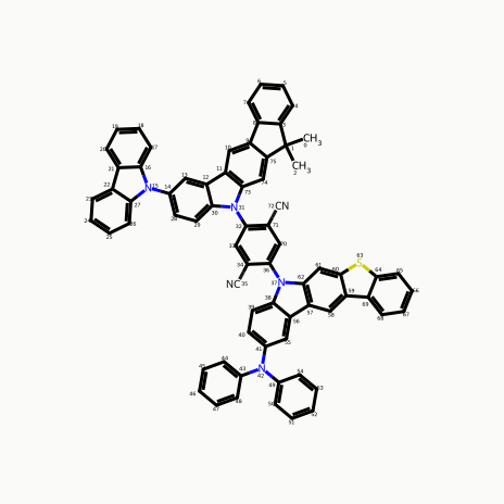 CC1(C)c2ccccc2-c2cc3c4cc(-n5c6ccccc6c6ccccc65)ccc4n(-c4cc(C#N)c(-n5c6ccc(N(c7ccccc7)c7ccccc7)cc6c6cc7c(cc65)sc5ccccc57)cc4C#N)c3cc21